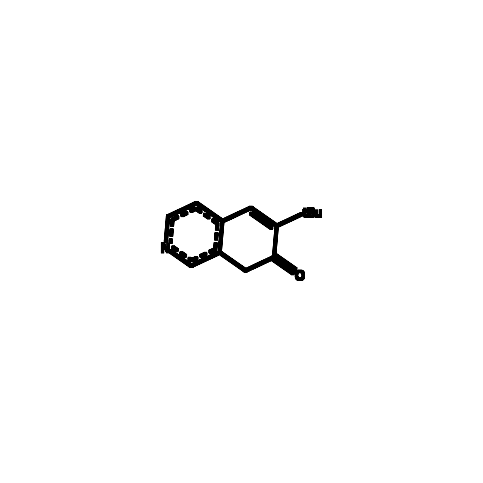 CC(C)(C)C1=Cc2ccncc2CC1=O